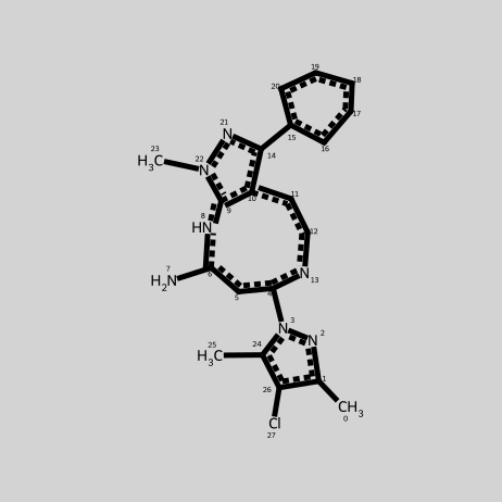 Cc1nn(-c2cc(N)[nH]c3c(ccn2)c(-c2ccccc2)nn3C)c(C)c1Cl